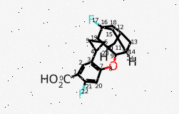 O=C(O)c1cc(C2CC2)c(OC2[C@@H]3CC4C[C@H]2CC(F)(C4)C3)cc1F